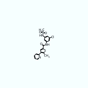 Cc1sc(C(=O)Nc2cc(Cl)cc(NS(C)(=O)=O)c2)cc1-c1ccccn1